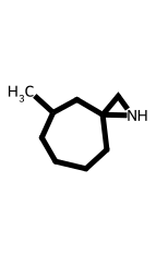 CC1CCCCC2(CN2)C1